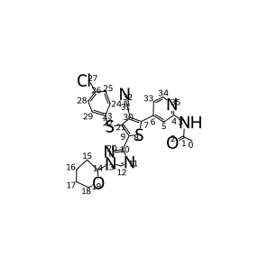 CC(=O)Nc1cc(-c2sc(-c3ncn(C4CCCCO4)n3)c(Sc3ccc(Cl)cc3)c2C#N)ccn1